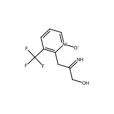 N=C(CO)Cc1c(C(F)(F)F)ccc[n+]1[O-]